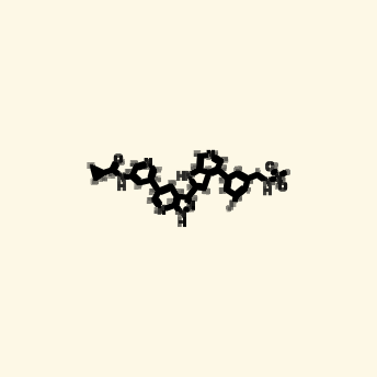 CS(=O)(=O)NCc1cc(F)cc(-c2cncc3[nH]c(-c4n[nH]c5ncc(-c6cncc(NC(=O)C7CC7)c6)cc45)cc23)c1